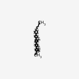 CCCCCCCC1CCC(C2CC=C(c3ccc(-c4ccc(-c5ccc(CCC)c(F)c5F)cc4)cc3F)CC2)CC1